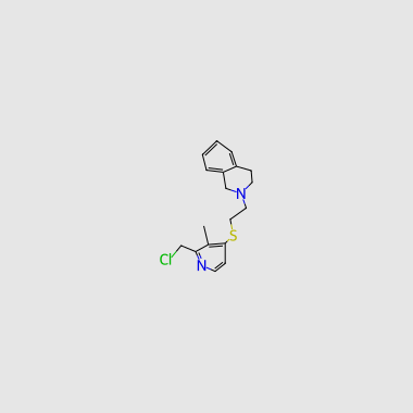 Cc1c(SCCN2CCc3ccccc3C2)ccnc1CCl